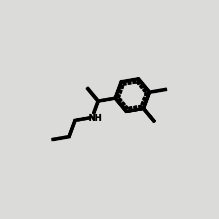 CCCNC(C)c1ccc(C)c(C)c1